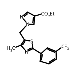 CCOC(=O)c1cnn(Cc2sc(-c3cccc(C(F)(F)F)c3)nc2C)c1